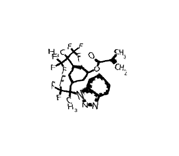 C=C(C)C(=O)OC1CC(C(C)(n2nnc3ccccc32)C(F)(F)F)CC(C(C)(C(F)(F)F)C(F)(F)F)C1